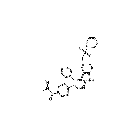 CN(C)N(C)C(=O)c1ccc(-c2cnc3[nH]c4ccc(CS(=O)(=O)c5ccccc5)cc4c3c2-c2ccccc2)cc1